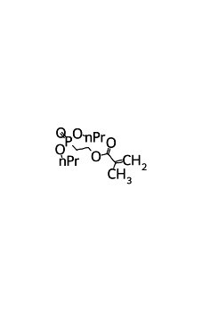 C=C(C)C(=O)OCCP(=O)(OCCC)OCCC